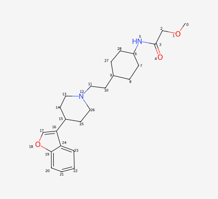 COCC(=O)NC1CCC(CCN2CCC(c3coc4ccccc34)CC2)CC1